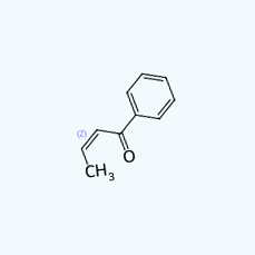 C/C=C\C(=O)c1ccccc1